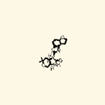 CC1(C)C[C@@H]2[C@H](CO1)NC(=O)N2c1nc2c3c(ccc2s1)OCC3